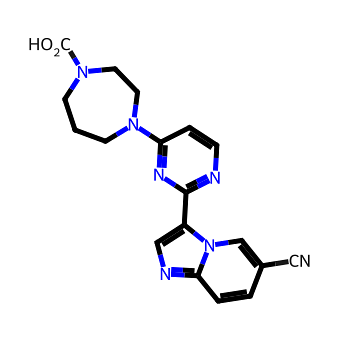 N#Cc1ccc2ncc(-c3nccc(N4CCCN(C(=O)O)CC4)n3)n2c1